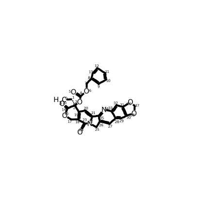 CC[C@@]1(OC(=O)OCc2ccccc2)C(=O)OCc2c1cc1n(c2=O)Cc2cc3cc4c(cc3nc2-1)OCO4